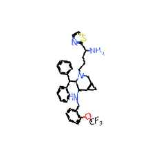 NC(CCCN1CC2CC2C(NCc2ccccc2OC(F)(F)F)C1C(c1ccccc1)c1ccccc1)c1nccs1